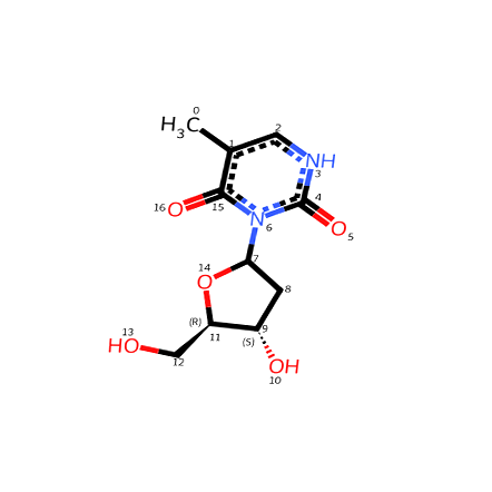 Cc1c[nH]c(=O)n(C2C[C@H](O)[C@@H](CO)O2)c1=O